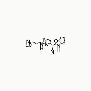 N#CC(=C1Nc2ccccc2O1)c1ccnc(NCCCn2cccn2)n1